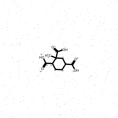 CC1(C(=O)O)CC(C(=O)O)CCC1C(=O)O